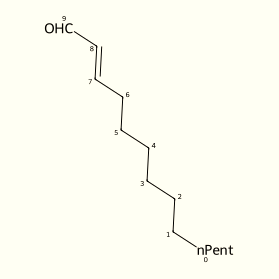 CCCCCCCCCCC/C=C/C=O